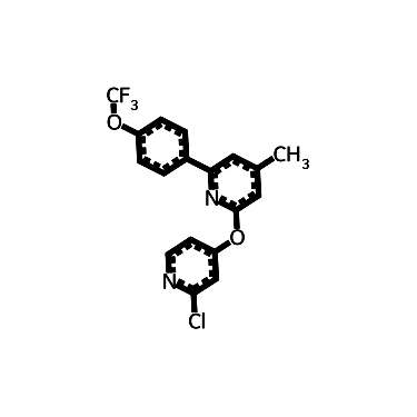 Cc1cc(Oc2ccnc(Cl)c2)nc(-c2ccc(OC(F)(F)F)cc2)c1